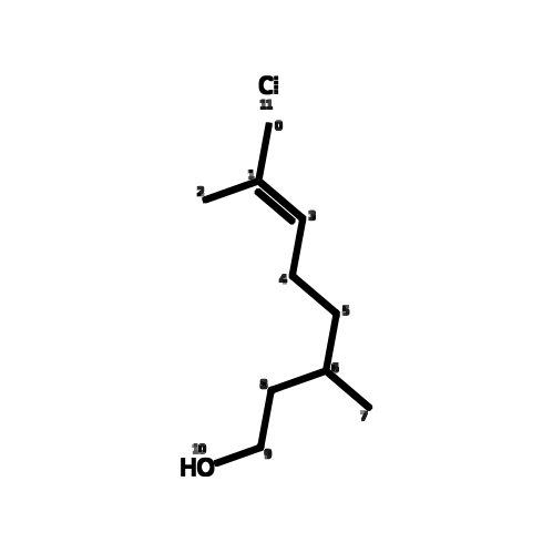 CC(C)=CCCC(C)CCO.[C]